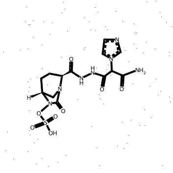 NC(=O)C(C(=O)NNC(=O)[C@@H]1CC[C@@H]2CN1C(=O)N2OS(=O)(=O)O)n1ccnc1